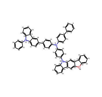 c1ccc(-c2ccc(N(c3ccc(-c4ccc5c(c4)c4ccccc4n5-c4ccccc4)cc3)c3ccc(-n4c5ccccc5c5cc6oc7ccccc7c6cc54)cc3)cc2)cc1